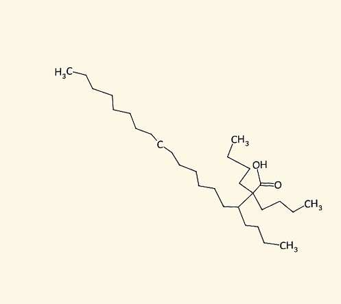 CCCCCCCCCCCCCCCC(CCCC)C(CCCC)(CCCC)C(=O)O